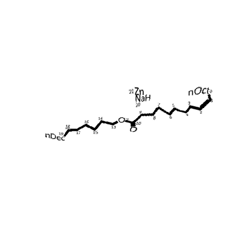 CCCCCCCC/C=C\CCCCCCCC(=O)OCCCCCCCCCCCCCCCC.[NaH].[Zn]